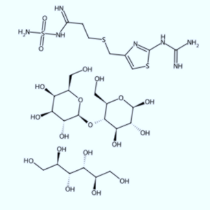 N=C(N)Nc1nc(CSCCC(=N)NS(N)(=O)=O)cs1.OC[C@@H](O)[C@@H](O)[C@H](O)[C@H](O)CO.OC[C@H]1O[C@@H](O[C@H]2[C@H](O)[C@@H](O)[C@H](O)O[C@@H]2CO)[C@H](O)[C@@H](O)[C@H]1O